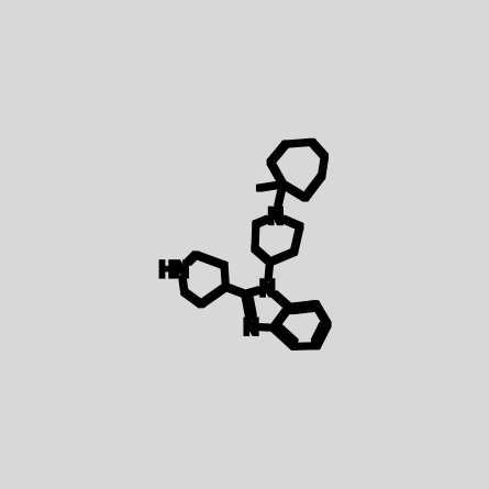 CC1(N2CCC(n3c(C4CCNCC4)nc4ccccc43)CC2)CCCCCC1